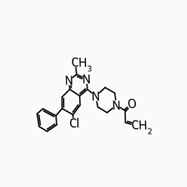 C=CC(=O)N1CCN(c2nc(C)nc3cc(-c4ccccc4)c(Cl)cc23)CC1